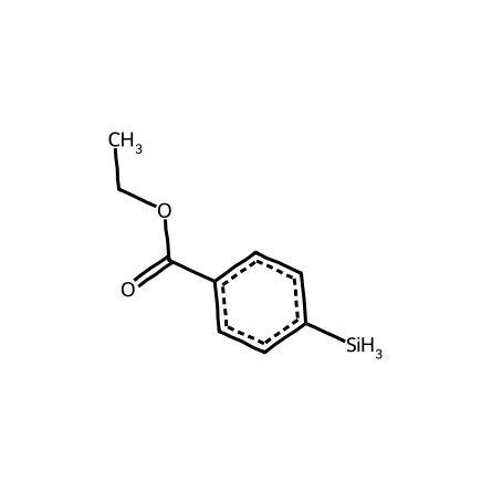 CCOC(=O)c1ccc([SiH3])cc1